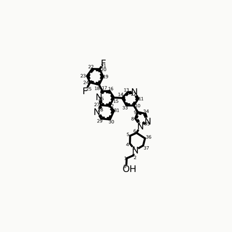 OCCN1CCC(n2cc(-c3cncc(-c4cc(-c5cc(F)ccc5F)nc5ncccc45)c3)cn2)CC1